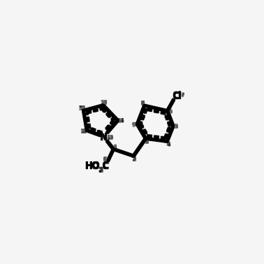 O=C(O)C(Cc1ccc(Cl)cc1)n1cccc1